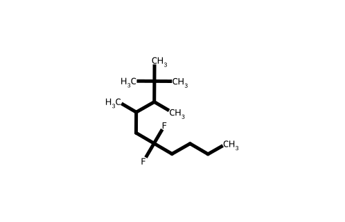 CCCCC(F)(F)CC(C)C(C)C(C)(C)C